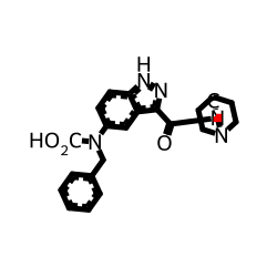 O=C(c1n[nH]c2ccc(N(Cc3ccccc3)C(=O)O)cc12)N1CC2CCN(CC2)C1